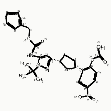 CC(C)(C)n1nc([C@@H]2CC[C@H](c3cc([N+](=O)[O-])ccc3OC(=O)O)C2)cc1NC(=O)OCc1ccccc1